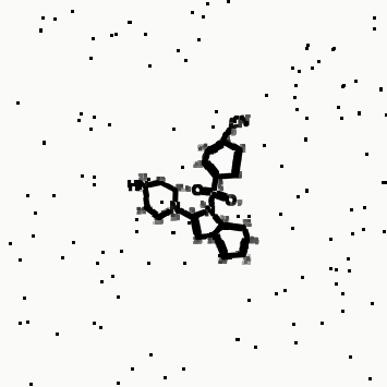 N#Cc1ccc(S(=O)(=O)n2c(N3CCNCC3)cc3ccccc32)cc1